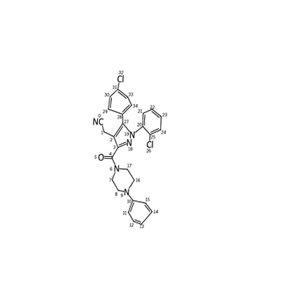 N#CCc1c(C(=O)N2CCN(c3ccccc3)CC2)nn(-c2ccccc2Cl)c1-c1ccc(Cl)cc1